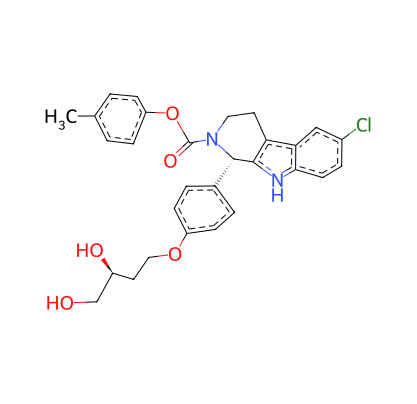 Cc1ccc(OC(=O)N2CCc3c([nH]c4ccc(Cl)cc34)[C@@H]2c2ccc(OCC[C@H](O)CO)cc2)cc1